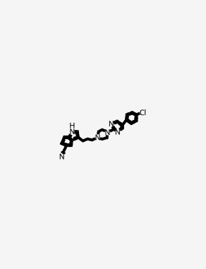 N#Cc1ccc2[nH]cc(CCCN3CCN(c4ncc(-c5ccc(Cl)cc5)cn4)CC3)c2c1